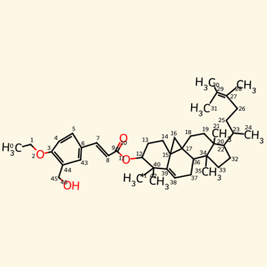 CCOc1ccc(/C=C/C(=O)OC2CCC34CC35CCC3(C)C(C(C)CCC(C)=C(C)C)CCC3(C)C5CC=C4C2(C)C)cc1CO